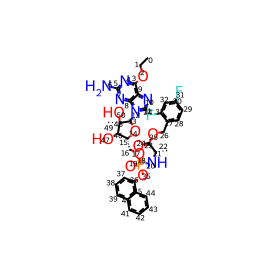 CCOc1nc(N)nc2c1ncn2C1O[C@H](COP(=O)(N[C@@H](C)C(=O)OCc2ccc(F)cc2F)Oc2cccc3ccccc23)[C@@H](O)[C@@]1(C)O